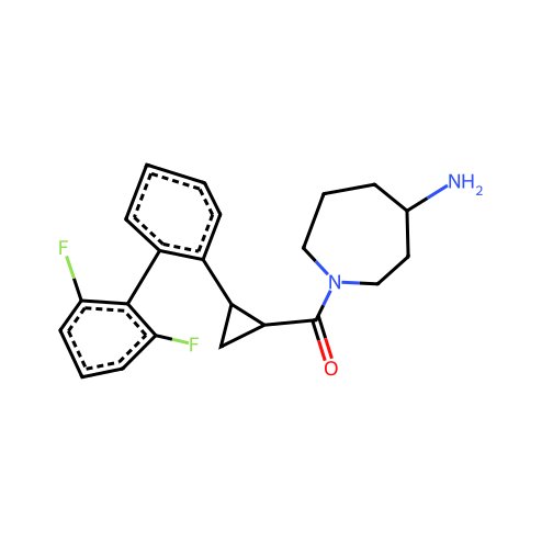 NC1CCCN(C(=O)C2CC2c2ccccc2-c2c(F)cccc2F)CC1